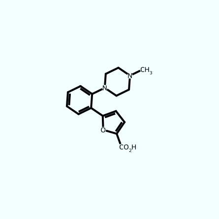 CN1CCN(c2ccccc2-c2ccc(C(=O)O)o2)CC1